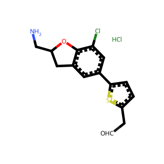 Cl.NCC1Cc2cc(-c3ccc(CC=O)s3)cc(Cl)c2O1